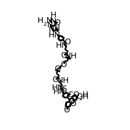 CC(C)(CCOCCOC(C)(C)CCC(=O)NCCNC(=S)Nc1ccc(-c2c3ccc(=O)cc-3oc3cc(O)ccc23)c(C(=O)O)c1)NC(=O)CCCNC(=O)c1ccc(NCC2=NC3C(=O)NC(N)=NC3N=C2)cc1